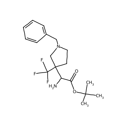 CC(C)(C)OC(=O)C(N)C1(C(F)(F)F)CCN(Cc2ccccc2)C1